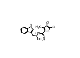 Cc1c(C(=O)NC(CC2=CBc3ccccc32)C(=O)O)sc(Cl)c1Cl